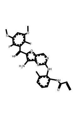 C=CC(=O)Nc1cccc(C)c1Nc1ncc2oc(C(=P)c3c(F)c(OC)cc(OC)c3F)c(N)c2n1